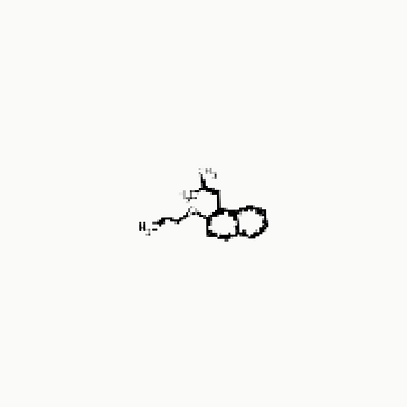 C=CCOc1ccc2ccccc2c1C=C(C)C